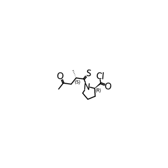 CC(=O)C[C@H](C)C(=S)N1CCC[C@@H]1C(=O)Cl